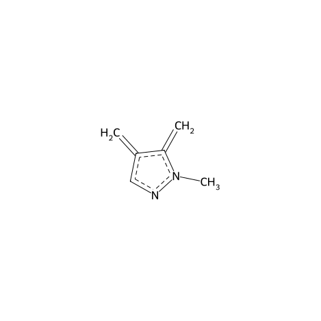 C=c1cnn(C)c1=C